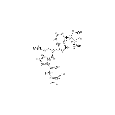 CNc1cc(-c2cnc3n([C@H]4COC[C@@H]4OC)cccc2-3)nc2c(C(=O)N[C@H]3CC[C@@H]3F)cnn12